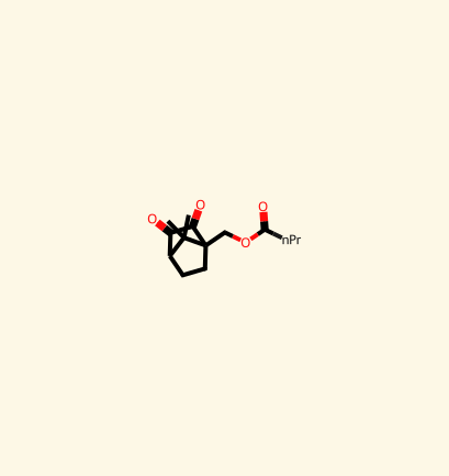 CCCC(=O)OCC12CCC(C(=O)C1=O)C2(C)C